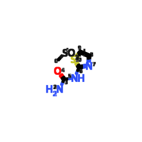 CS(=O)(=O)O.NC(=O)Nc1nccs1